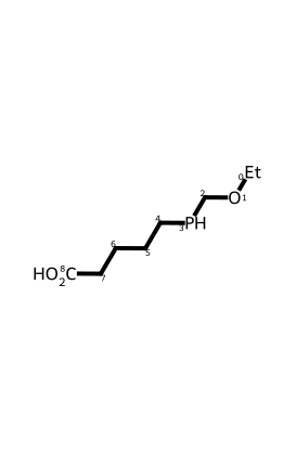 CCOCPCCCCC(=O)O